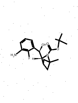 CC(C)(C)OC(=O)N1[C@@H]([C@H](O)c2cccc(N)c2F)C2CC1(C)C2